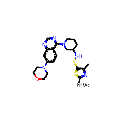 CC(=O)Nc1nc(C)c(SNC2CCCN(c3ncnc4cc(N5CCOCC5)ccc34)C2)s1